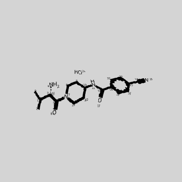 CC(C)[C@H](N)C(=O)N1CCC(NC(=O)c2ccc(C#N)cc2)CC1.Cl